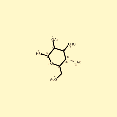 CC(=O)OCC1O[C@@H](S)C(OC(C)=O)C(C=O)[C@@H]1OC(C)=O